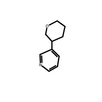 c1cncc(C2CCCOC2)c1